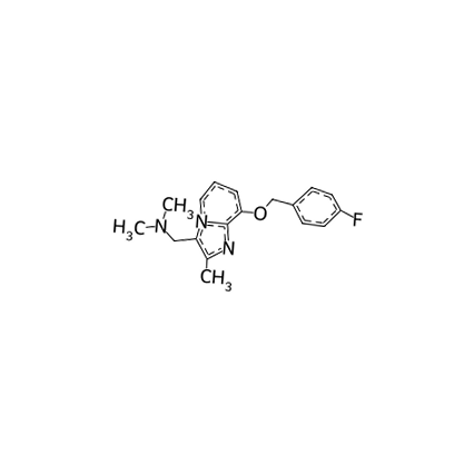 Cc1nc2c(OCc3ccc(F)cc3)cccn2c1CN(C)C